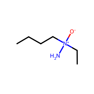 CCCC[N+](N)([O-])CC